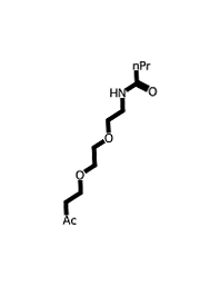 CCCC(=O)NCCOCCOCCC(C)=O